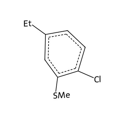 CCc1ccc(Cl)c(SC)c1